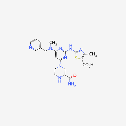 Cc1nc(Nc2nc(N(C)Cc3cccnc3)cc(N3CCNC(C(N)=O)C3)n2)sc1C(=O)O